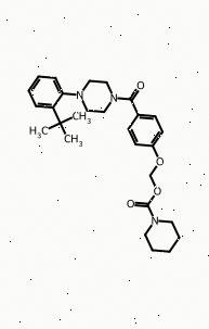 CC(C)(C)c1ccccc1N1CCN(C(=O)c2ccc(OCOC(=O)N3CCCCC3)cc2)CC1